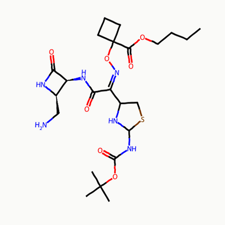 CCCCOC(=O)C1(O/N=C(\C(=O)N[C@@H]2C(=O)N[C@@H]2CN)C2CSC(NC(=O)OC(C)(C)C)N2)CCC1